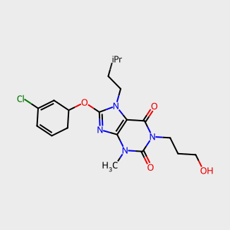 CC(C)CCn1c(OC2C=C(Cl)C=CC2)nc2c1c(=O)n(CCCO)c(=O)n2C